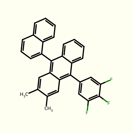 Cc1cc2c(-c3cc(F)c(F)c(F)c3)c3ccccc3c(-c3cccc4ccccc34)c2cc1C